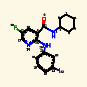 O=C(NC1CC[CH]CC1)c1cc(F)cnc1Nc1cccc(I)c1